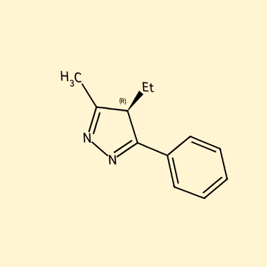 CC[C@@H]1C(C)=NN=C1c1ccccc1